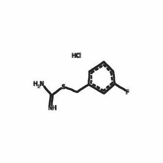 Cl.N=C(N)SCc1cccc(F)c1